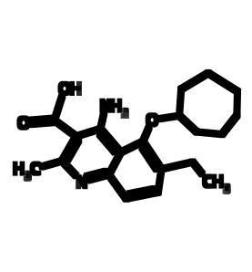 CCc1ccc2nc(C)c(C(=O)O)c(N)c2c1OC1CCCCCC1